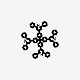 c1ccc(-c2cc(-c3ccc(C(c4ccc(-c5cc(-c6ccccc6)nc(-c6ccccc6)c5)cc4)(c4ccc(-c5cc(-c6ccccc6)nc(-c6ccccc6)c5)cc4)c4ccc(-c5cc(-c6ccccc6)nc(-c6ccccc6)c5)cc4)cc3)cc(-c3ccccc3)n2)cc1